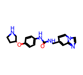 O=C(NCc1ccn2ccnc2c1)Nc1ccc(O[C@@H]2CCNC2)cc1